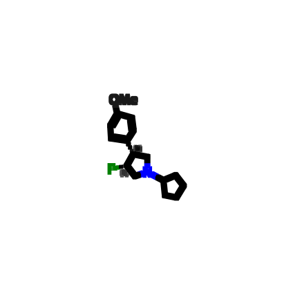 COc1ccc([C@@H]2CN(C3CCCC3)C[C@@H]2F)cc1